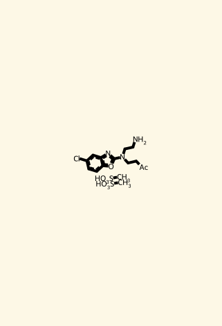 CC(=O)CCN(CCN)c1nc2cc(Cl)ccc2o1.CS(=O)(=O)O.CS(=O)(=O)O